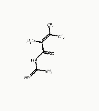 CC(C(=O)NC(=N)N)=C(C(F)(F)F)C(F)(F)F